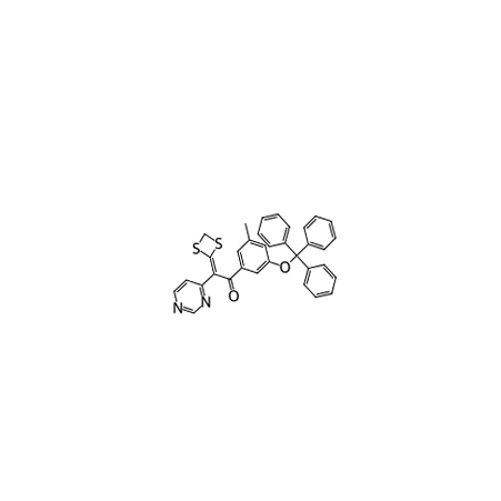 Cc1cc(OC(c2ccccc2)(c2ccccc2)c2ccccc2)cc(C(=O)C(=C2SCS2)c2ccncn2)c1